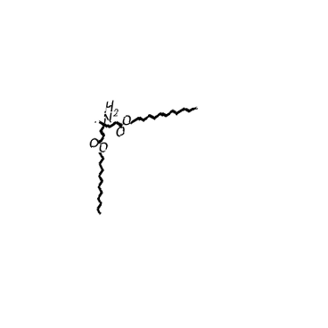 [CH2]C(N)(CCC(=O)OCCCCCCCCCCCC)CCC(=O)OCCCCCCCCCCCC